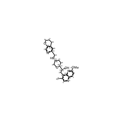 COc1ccc2ncc(F)c(C[C@H](O)[C@@H]3CC[C@@H](NCc4cc5c(cn4)OCCC5)CO3)c2n1